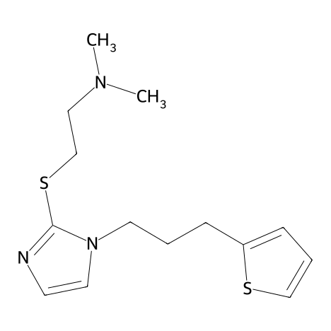 CN(C)CCSc1nccn1CCCc1cccs1